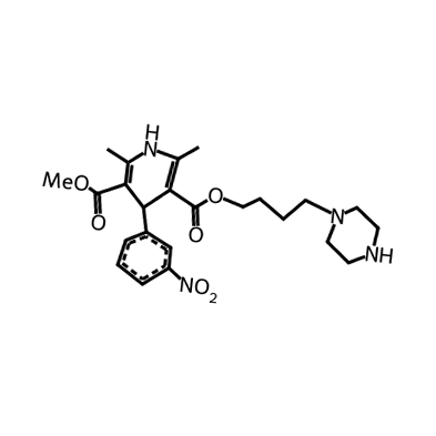 COC(=O)C1=C(C)NC(C)=C(C(=O)OCCCCN2CCNCC2)C1c1cccc([N+](=O)[O-])c1